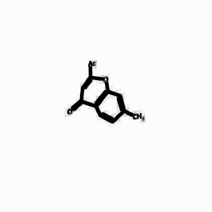 CC(=O)c1cc(=O)c2ccc(C)cc2o1